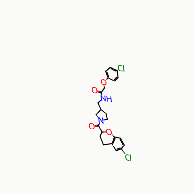 O=C(COc1ccc(Cl)cc1)NCC1CCN(C(=O)C2CCc3cc(Cl)ccc3O2)C1